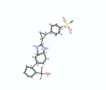 CC(C)(O)c1ccccc1-c1ccc2[nH]c(C3CC3c3ccc(S(C)(=O)=O)cc3)nc2c1